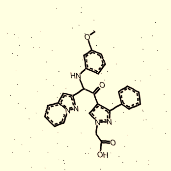 COc1cccc(NC(C(=O)c2cn(CC(=O)O)nc2-c2ccccc2)c2cc3ccccn3n2)c1